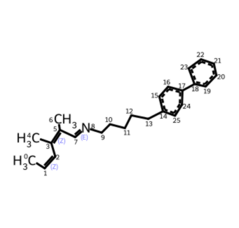 C\C=C/C(C)=C(C)\C=N\CCCCCc1ccc(-c2ccccc2)cc1